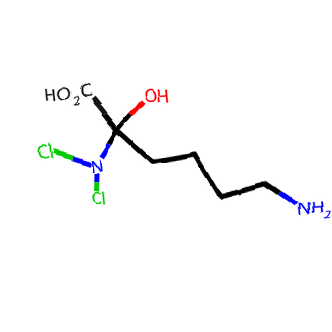 NCCCCC(O)(C(=O)O)N(Cl)Cl